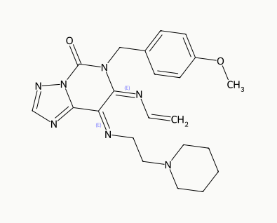 C=C/N=C1\C(=N/CCN2CCCCC2)c2ncnn2C(=O)N1Cc1ccc(OC)cc1